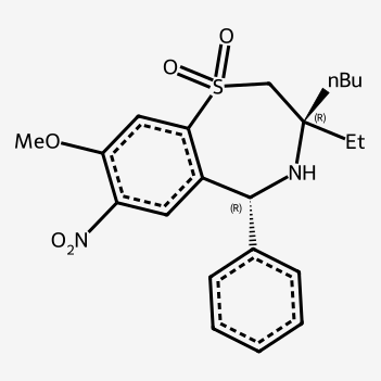 CCCC[C@]1(CC)CS(=O)(=O)c2cc(OC)c([N+](=O)[O-])cc2[C@@H](c2ccccc2)N1